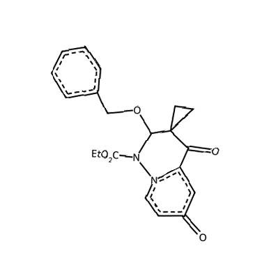 CCOC(=O)N1C(OCc2ccccc2)C2(CC2)C(=O)c2cc(=O)ccn21